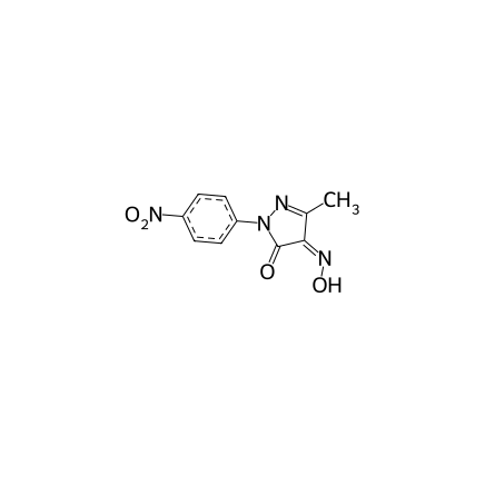 CC1=NN(c2ccc([N+](=O)[O-])cc2)C(=O)/C1=N\O